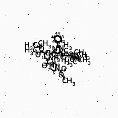 CCOC(=O)N1CCN(C(=O)C(CCC(=O)OC(C)(C)C)NC(=O)c2cc(C(C)(C)CO[Si](C)(C)C(C)(C)C)nc(-c3ccccc3)n2)CC1